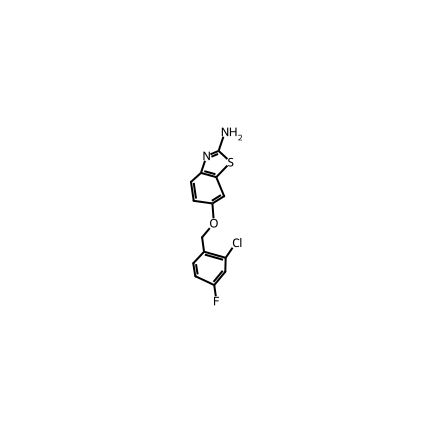 Nc1nc2ccc(OCc3ccc(F)cc3Cl)cc2s1